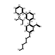 C=Cc1cc(CCCCCC)ccc1-c1cccc(C2=CC=CCN2N(C)CC)c1